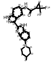 CC1CCN(c2ccc3[nH]c(-c4n[nH]c5ccc(NC(=O)C6CC6(F)F)cc45)nc3c2)CC1